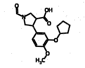 COc1ccc(C2CN(C=O)CC2C(=O)O)cc1OC1CCCC1